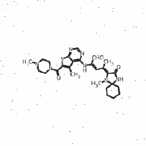 CC(/C=C(\C=O)Nc1ncnc2sc(C(=O)N3CCN(C)CC3)c(C)c12)=C1\C(=O)NC2(CCCCC2)N1C